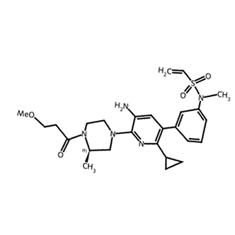 C=CS(=O)(=O)N(C)c1cccc(-c2cc(N)c(N3CCN(C(=O)CCOC)[C@H](C)C3)nc2C2CC2)c1